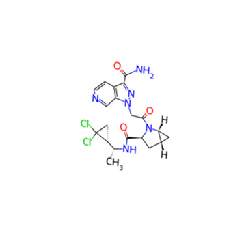 C[C@@H](NC(=O)[C@@H]1C[C@H]2C[C@H]2N1C(=O)Cn1nc(C(N)=O)c2ccncc21)[C@H]1CC1(Cl)Cl